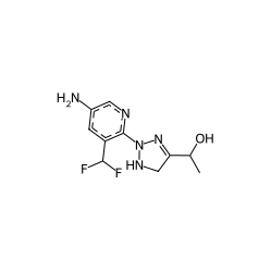 CC(O)C1=NN(c2ncc(N)cc2C(F)F)NC1